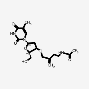 C=C(CCNC(=O)C(F)(F)F)COC1C[C@H](n2cc(C)c(=O)[nH]c2=O)O[C@@H]1CO